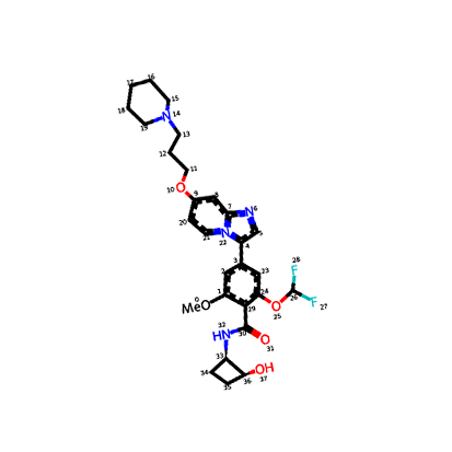 COc1cc(-c2cnc3cc(OCCCN4CCCCC4)ccn23)cc(OC(F)F)c1C(=O)N[C@@H]1CC[C@@H]1O